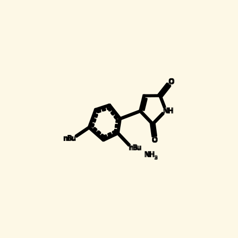 CCCCc1ccc(C2=CC(=O)NC2=O)c(CCCC)c1.N